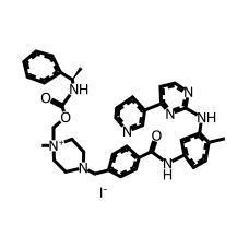 Cc1ccc(NC(=O)c2ccc(CN3CC[N+](C)(COC(=O)N[C@H](C)c4ccccc4)CC3)cc2)cc1Nc1nccc(-c2cccnc2)n1.[I-]